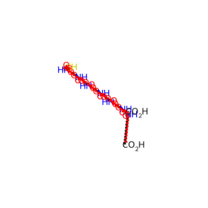 C[C@H](NC(=O)COCCOCCNC(=O)COCCOCCNC(=O)COCCOCCNC(=O)COCCOCCNC(=O)COCCOCCNC(=O)CC[C@H](NC(=O)CCCCCCCCCCCCCCCCCCC(=O)O)C(=O)O)C(=O)S